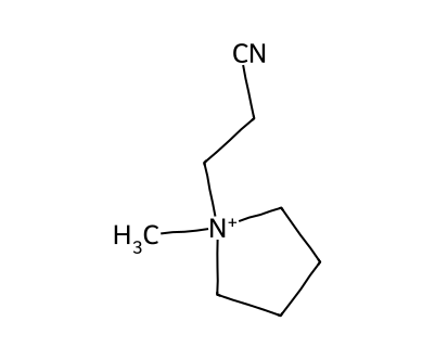 C[N+]1(CCC#N)CCCC1